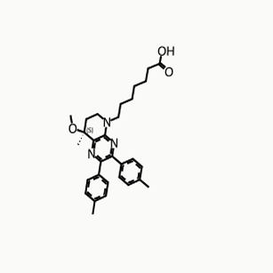 CO[C@@]1(C)CCN(CCCCCCC(=O)O)c2nc(-c3ccc(C)cc3)c(-c3ccc(C)cc3)nc21